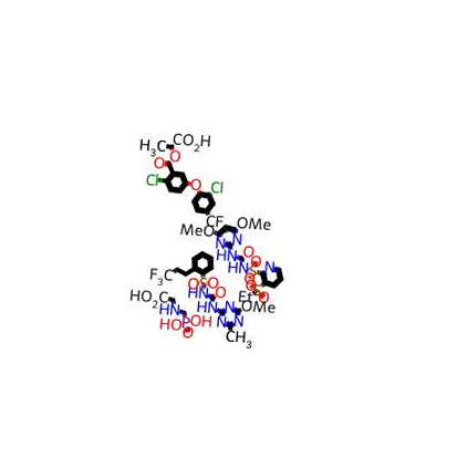 CCS(=O)(=O)c1cccnc1S(=O)(=O)NC(=O)Nc1nc(OC)cc(OC)n1.COc1nc(C)nc(NC(=O)NS(=O)(=O)c2ccccc2CCC(F)(F)F)n1.C[C@H](OC(=O)c1cc(Oc2ccc(C(F)(F)F)cc2Cl)ccc1Cl)C(=O)O.O=C(O)CNCP(=O)(O)O